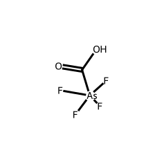 O=C(O)[As](F)(F)(F)F